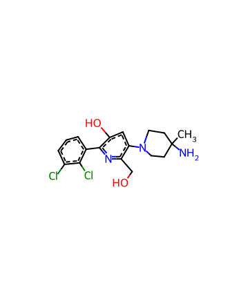 CC1(N)CCN(c2cc(O)c(-c3cccc(Cl)c3Cl)nc2CO)CC1